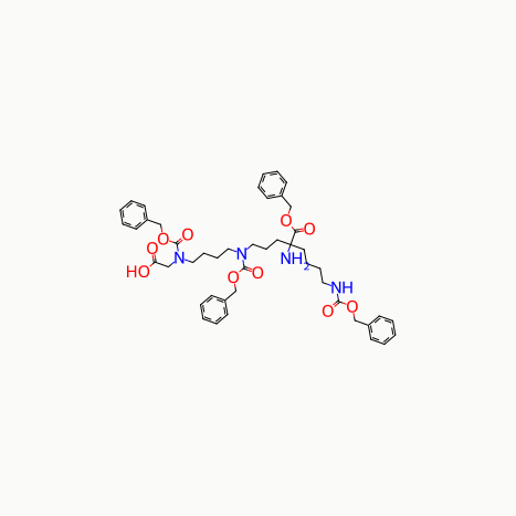 NC(CCCCNC(=O)OCc1ccccc1)(CCCN(CCCCN(CC(=O)O)C(=O)OCc1ccccc1)C(=O)OCc1ccccc1)C(=O)OCc1ccccc1